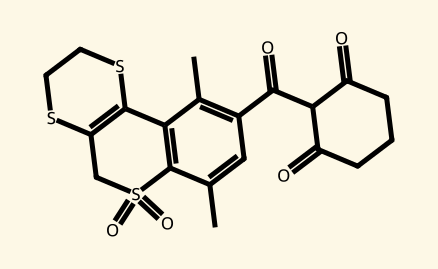 Cc1cc(C(=O)C2C(=O)CCCC2=O)c(C)c2c1S(=O)(=O)CC1=C2SCCS1